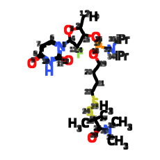 [2H]CC1OC(n2ccc(=O)[nH]c2=O)C(F)C1OP(OCCCCSSC(C)(C)C(=O)N(C)C)N(C(C)C)C(C)C